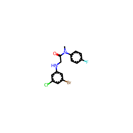 CN(C(=O)CNc1cc(Cl)cc(Br)c1)c1ccc(F)cc1